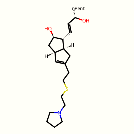 CCCCC[C@H](O)/C=C/[C@@H]1[C@H]2CC(CCSCCN3CCCC3)=C[C@H]2C[C@H]1O